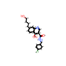 O=C(NCc1ccc(Cl)cc1)c1cnc2cc(CCCCO)ccc2c1O